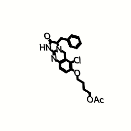 CC(=O)OCCCCOc1ccc2c(c1Cl)CN1C(=N2)NC(=O)C1Cc1ccccc1